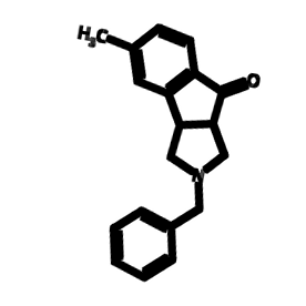 Cc1ccc2c(c1)C1CN(Cc3ccccc3)CC1C2=O